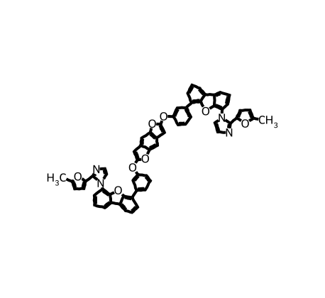 Cc1ccc(-c2nccn2-c2cccc3c2oc2c(-c4cccc(Oc5cc6cc7oc(Oc8cccc(-c9cccc%10c9oc9c(-n%11ccnc%11-c%11ccc(C)o%11)cccc9%10)c8)cc7cc6o5)c4)cccc23)o1